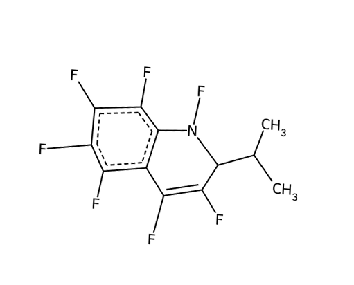 CC(C)C1C(F)=C(F)c2c(F)c(F)c(F)c(F)c2N1F